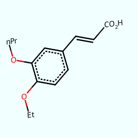 CCCOc1cc(C=CC(=O)O)ccc1OCC